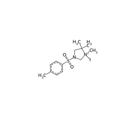 Cc1ccc(S(=O)(=O)N2CC(C)(C)[N+](C)(I)C2)cc1